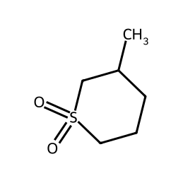 CC1CCCS(=O)(=O)C1